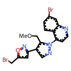 COCc1c(-c2cc(CBr)on2)cnn1-c1ccnc2cc(Br)ccc12